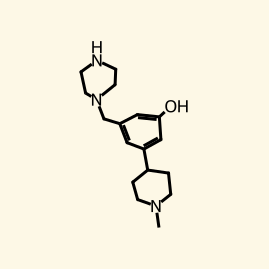 CN1CCC(c2cc(O)cc(CN3CCNCC3)c2)CC1